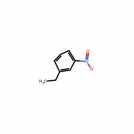 CCc1[c]ccc([N+](=O)[O-])c1